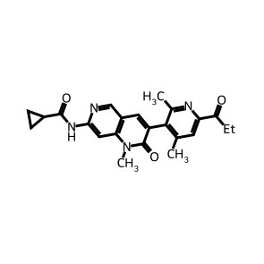 CCC(=O)c1cc(C)c(-c2cc3cnc(NC(=O)C4CC4)cc3n(C)c2=O)c(C)n1